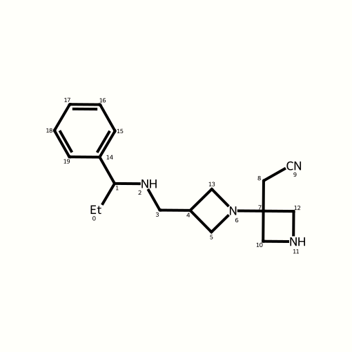 CCC(NCC1CN(C2(CC#N)CNC2)C1)c1ccccc1